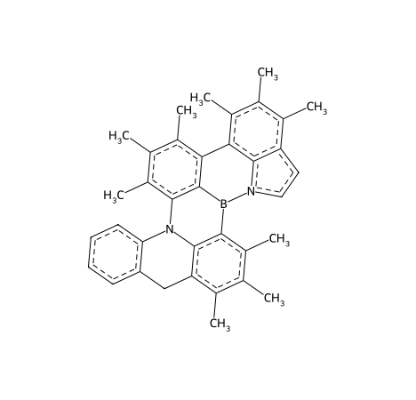 Cc1c(C)c2c3c(c1C)B1c4c(c(C)c(C)c(C)c4N3c3ccccc3C2)-c2c(C)c(C)c(C)c3ccn1c23